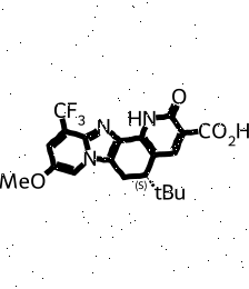 COc1cc(C(F)(F)F)c2nc3c(n2c1)C[C@@H](C(C)(C)C)c1cc(C(=O)O)c(=O)[nH]c1-3